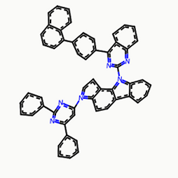 c1ccc(-c2cc(-n3ccc4c3ccc3c5ccccc5n(-c5nc(-c6ccc(-c7cccc8ccccc78)cc6)c6ccccc6n5)c34)nc(-c3ccccc3)n2)cc1